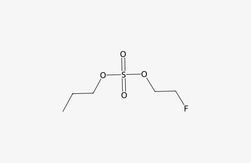 CCCOS(=O)(=O)OCCF